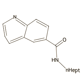 CCCCCCCNC(=O)c1ccc2ncccc2c1